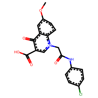 COc1ccc2c(c1)c(=O)c(C(=O)O)cn2CC(=O)Nc1ccc(Cl)cc1